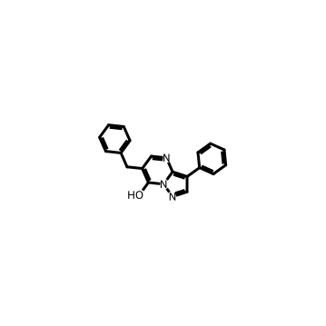 Oc1c(Cc2ccccc2)cnc2c(-c3ccccc3)cnn12